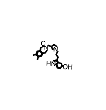 Cc1cc2c(cc1C)CC(=O)N(CC1CCN(CCCc3c[nH]c4ccc(O)cc34)C1)CC2